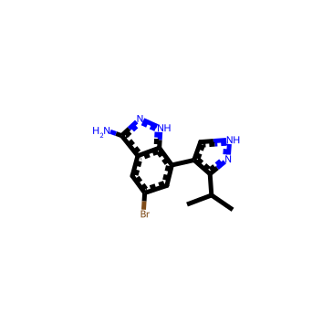 CC(C)c1n[nH]cc1-c1cc(Br)cc2c(N)n[nH]c12